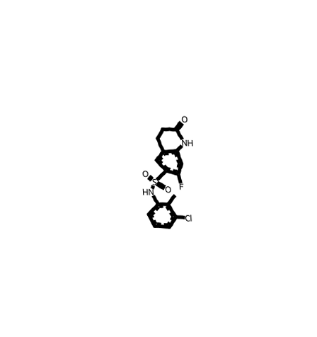 Cc1c(Cl)cccc1NS(=O)(=O)c1cc2c(cc1F)NC(=O)CC2